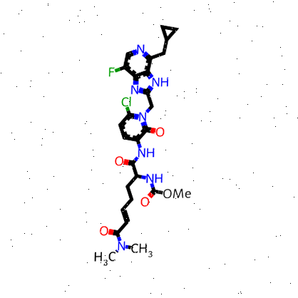 COC(=O)NC(CCC=CC(=O)N(C)C)C(=O)Nc1ccc(Cl)n(Cc2nc3c(F)cnc(CC4CC4)c3[nH]2)c1=O